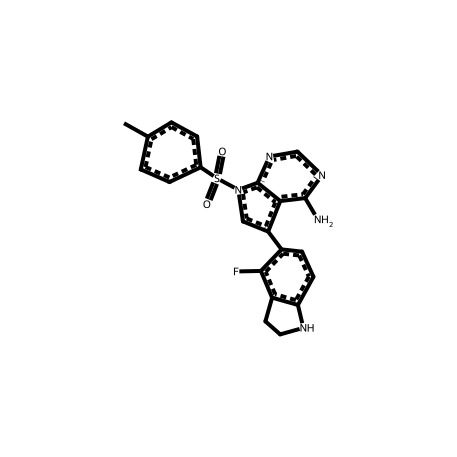 Cc1ccc(S(=O)(=O)n2cc(-c3ccc4c(c3F)CCN4)c3c(N)ncnc32)cc1